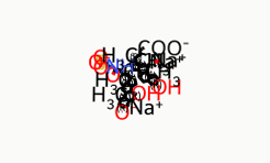 C[C@H](CCC(=O)NCCS(=O)(=O)[O-])[C@H]1CCC2C3C(CC[C@@]21C)[C@@]1(C)CC[C@@H]([O-])CC1C[C@H]3O.C[C@H](CCC(=O)[O-])[C@H]1CCC2C3CCC4C[C@H](O)CC[C@]4(C)C3CC[C@@]21C.[Na+].[Na+].[Na+]